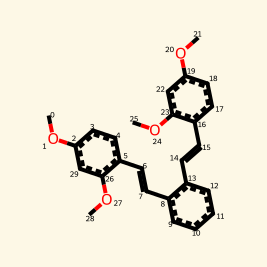 COc1ccc(C=Cc2ccccc2C=Cc2ccc(OC)cc2OC)c(OC)c1